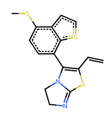 C=CC1=C(c2ccc(SC)c3ccsc23)N2CCN=C2S1